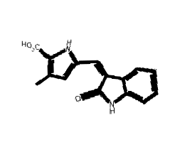 Cc1cc(C=C2C(=O)Nc3ccccc32)[nH]c1C(=O)O